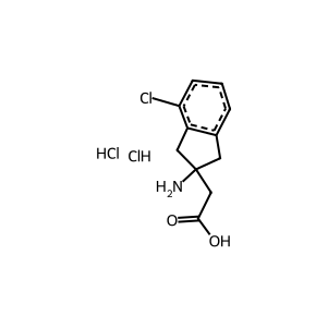 Cl.Cl.NC1(CC(=O)O)Cc2cccc(Cl)c2C1